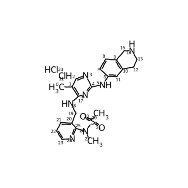 Cc1cnc(Nc2ccc3c(c2)CCNC3)nc1NCc1cccnc1N(C)S(C)(=O)=O.Cl.Cl